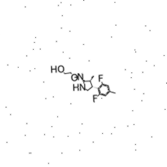 Cc1cc(F)c([C@@H]2CN/C(=N\OCCO)[C@H]2C)c(F)c1